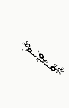 O=C(CCN(CCCc1ccc(N2CC(=O)NS2(=O)=O)c(O)c1)C(=O)c1ccc(F)cc1)NCCCc1ccc(N2CC(=O)NS2(=O)=O)c(O)c1